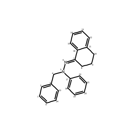 c1ccc(CN(N=C2CCCc3ccccc32)c2ccccc2)cc1